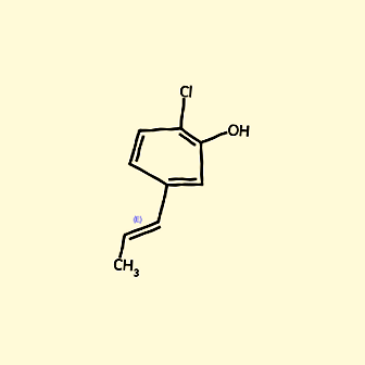 C/C=C/c1ccc(Cl)c(O)c1